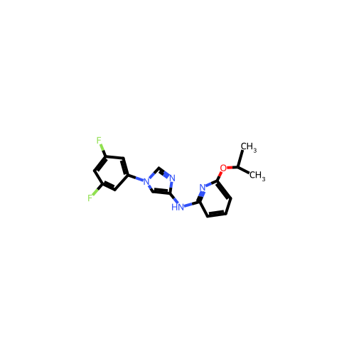 CC(C)Oc1cccc(Nc2cn(-c3cc(F)cc(F)c3)cn2)n1